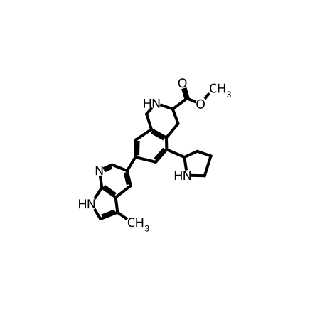 COC(=O)C1Cc2c(cc(-c3cnc4[nH]cc(C)c4c3)cc2C2CCCN2)CN1